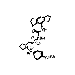 COc1ccc(S(=O)(=O)N2CCCC2C=CS(=O)(=O)NC(=O)Nc2c3c(cc4c2CCC4)CCC3)cc1